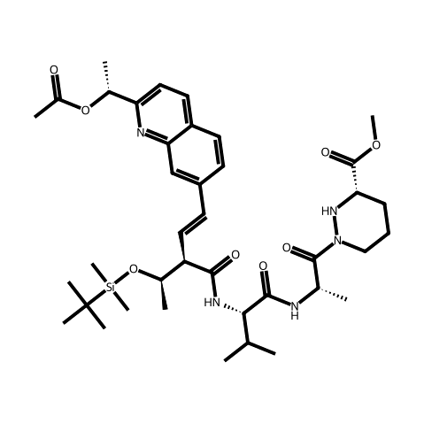 COC(=O)[C@@H]1CCCN(C(=O)[C@H](C)NC(=O)[C@@H](NC(=O)[C@H](C=Cc2ccc3ccc([C@@H](C)OC(C)=O)nc3c2)[C@@H](C)O[Si](C)(C)C(C)(C)C)C(C)C)N1